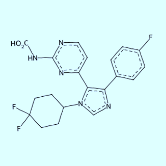 O=C(O)Nc1nccc(-c2c(-c3ccc(F)cc3)ncn2C2CCC(F)(F)CC2)n1